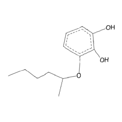 CCCCC(C)Oc1cccc(O)c1O